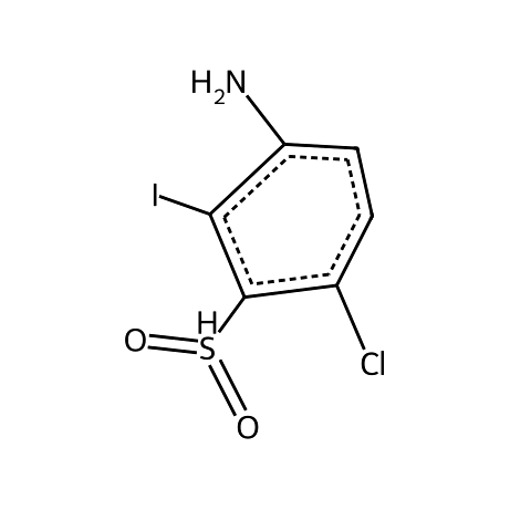 Nc1ccc(Cl)c([SH](=O)=O)c1I